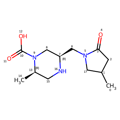 CC1CC(=O)N(C[C@@H]2CN(C(=O)O)[C@H](C)CN2)C1